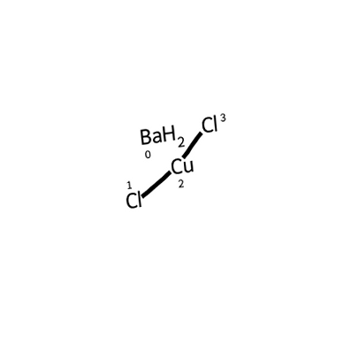 [BaH2].[Cl][Cu][Cl]